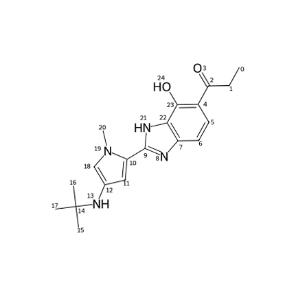 CCC(=O)c1ccc2nc(-c3cc(NC(C)(C)C)cn3C)[nH]c2c1O